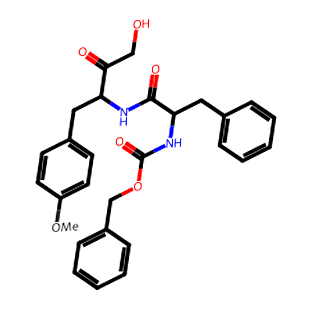 COc1ccc(CC(NC(=O)C(Cc2ccccc2)NC(=O)OCc2ccccc2)C(=O)CO)cc1